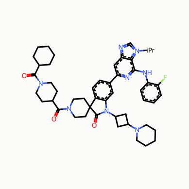 CC(C)n1cnc2cc(-c3ccc4c(c3)N(C3CC(N5CCCCC5)C3)C(=O)C43CCN(C(=O)C4CCN(C(=O)C5CCCCC5)CC4)CC3)nc(Nc3ccccc3F)c21